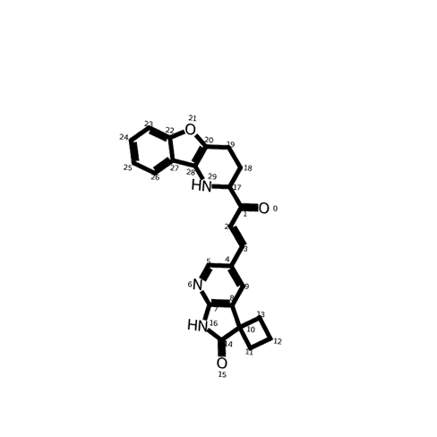 O=C(C=Cc1cnc2c(c1)C1(CCC1)C(=O)N2)C1CCc2oc3ccccc3c2N1